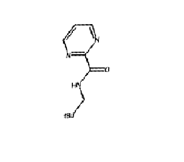 CC(C)(C)CNC(=O)c1ncccn1